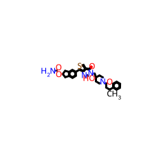 CC(CC(=O)N1CCC(O)(Cn2cnc3c(-c4ccc5c(c4)CC(OC(N)=O)C5)scc3c2=O)CC1)c1ccccc1